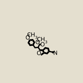 COC(=O)C(Cc1ccc(OC)cc1)c1occ2cc(C#N)ccc12